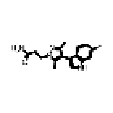 Cc1nn(CCC(N)=O)c(C)c1-c1c[nH]c2cc(F)ccc12